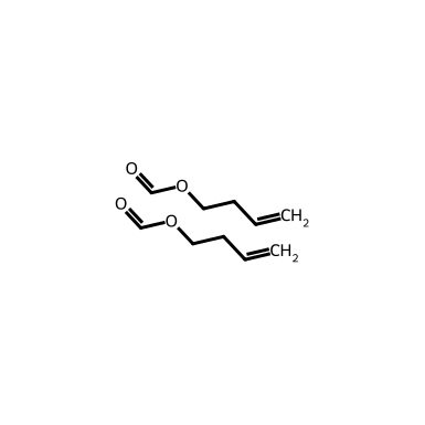 C=CCCOC=O.C=CCCOC=O